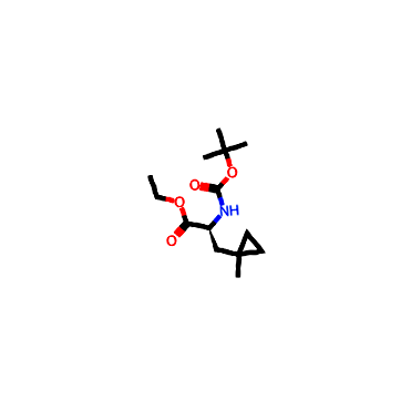 CCOC(=O)[C@H](CC1(C)CC1)NC(=O)OC(C)(C)C